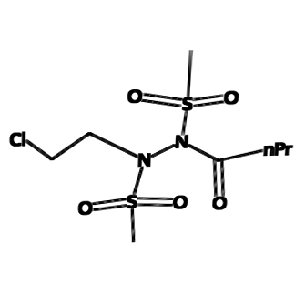 CCCC(=O)N(N(CCCl)S(C)(=O)=O)S(C)(=O)=O